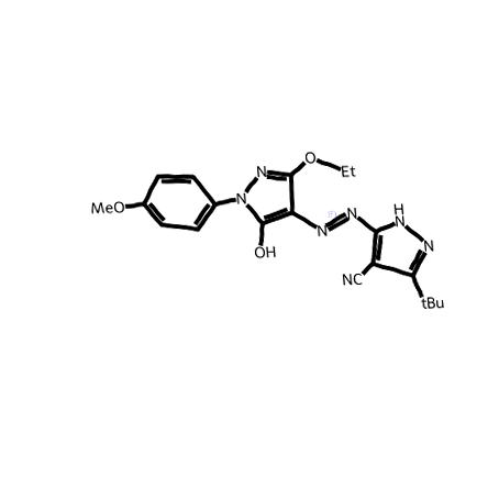 CCOc1nn(-c2ccc(OC)cc2)c(O)c1/N=N/c1[nH]nc(C(C)(C)C)c1C#N